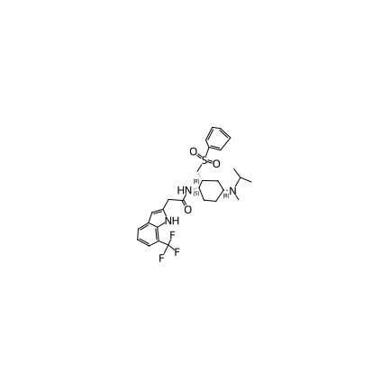 CC(C)N(C)[C@@H]1CC[C@H](NC(=O)Cc2cc3cccc(C(F)(F)F)c3[nH]2)[C@H](CS(=O)(=O)c2ccccc2)C1